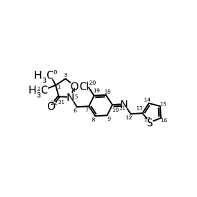 CC1(C)CON(CC2=CCC(=NCc3cccs3)C=C2Cl)C1=O